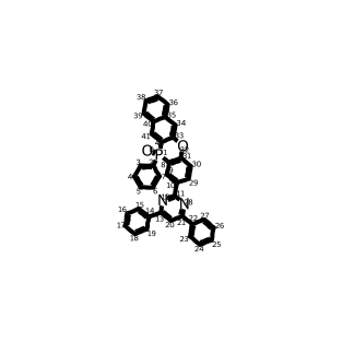 O=P1(c2ccccc2)c2cc(-c3nc(-c4ccccc4)cc(-c4ccccc4)n3)ccc2Oc2cc3ccccc3cc21